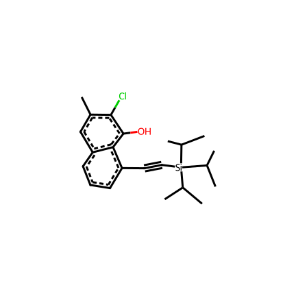 Cc1cc2cccc(C#C[Si](C(C)C)(C(C)C)C(C)C)c2c(O)c1Cl